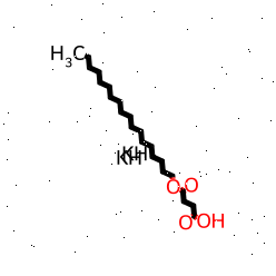 CCCCCCCCCCCCCCCCCCOC(=O)CCC(=O)O.[KH].[KH]